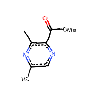 COC(=O)c1ncc(C#N)nc1C